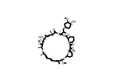 CO[C@H]1CC2CC[C@@H](C)[C@@](O)(O2)C(=O)C(=O)N2CCCCC2C(=O)O[C@](C)(C(C)C[C@@H]2CC[C@@H](O)[C@H](OC)C2)CC(=O)[C@H](C)/C=C(\C)[C@@H](O)[C@@H](OC)C(=O)[C@H](C)C[C@H](C)/C=C/C=C/C=C/1C